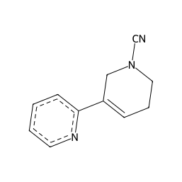 N#CN1CCC=C(c2ccccn2)C1